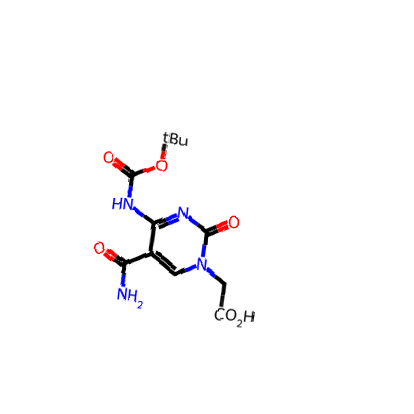 CC(C)(C)OC(=O)Nc1nc(=O)n(CC(=O)O)cc1C(N)=O